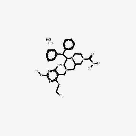 CCOc1nc(OC)c(CN2CC3CN(C(=O)N(CC)CC)CCN3C(C(c3ccccc3)c3ccccc3)C2)c(OCC(F)(F)F)n1.Cl.Cl